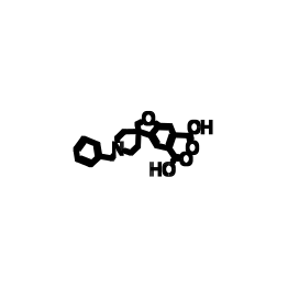 O=C(O)c1cc2c(cc1C(=O)O)C1(CCN(Cc3ccccc3)CC1)CO2